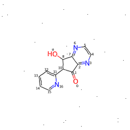 O=C1c2nccnc2C(O)C1c1ccccn1